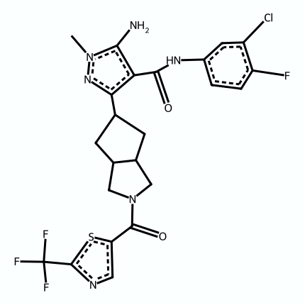 Cn1nc(C2CC3CN(C(=O)c4cnc(C(F)(F)F)s4)CC3C2)c(C(=O)Nc2ccc(F)c(Cl)c2)c1N